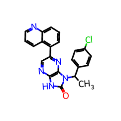 CC(c1ccc(Cl)cc1)n1c(=O)[nH]c2ncc(-c3cccc4ncccc34)nc21